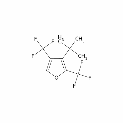 CC(C)(C)c1c(C(F)(F)F)coc1C(F)(F)F